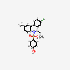 CCC1c2cc(F)ccc2-c2cc(C)ccc2N1S(=O)(=O)c1ccc(O)cc1